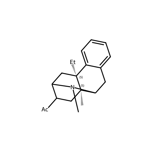 CC[C@@]12CC3C(C(C)=O)C[C@]1(C)C(Cc1ccccc12)N3C